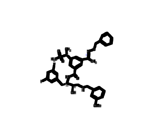 COc1cccc(CNC[C@@H](O)[C@H](Cc2cc(F)cc(F)c2)NC(=O)c2cc(/C(C)=N/OCc3ccccc3)cc(N(C)S(C)(=O)=O)c2)c1